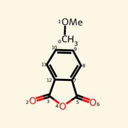 COC.O=C1OC(=O)c2ccccc21